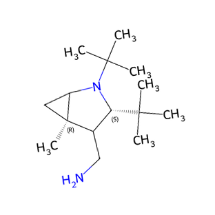 CC(C)(C)[C@@H]1C(CN)[C@@]2(C)CC2N1C(C)(C)C